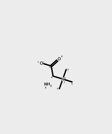 C[N+](C)(C)CC(=O)[O-].N